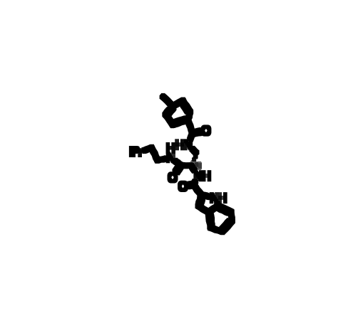 Cc1ccc(C(=O)NC[C@H](NC(=O)c2cc3ccccc3[nH]2)C(=O)NCCC(C)C)cc1